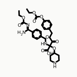 CCOC(=O)/N=C(\N)c1ccc(C(=O)NC(OC2CCNCC2)(C(=O)O)C(=O)CCc2ccc(OC(=O)OCC)cc2)cc1